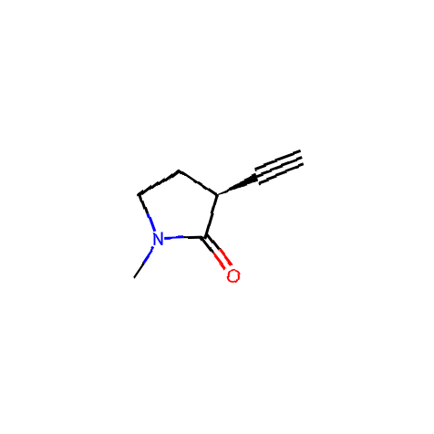 C#C[C@@H]1CCN(C)C1=O